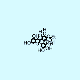 CCC(=O)Oc1cc(C(=O)O)c(C2Cc3c(O)cc(O)cc3O[C@H]2c2cc(O)c(O)c(O)c2)c(O)c1O